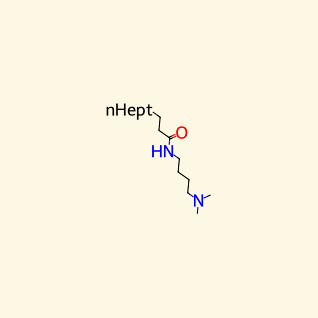 CCCCCCCCCC(=O)NCCCCN(C)C